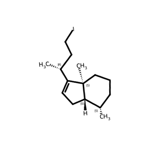 C[C@H](CCI)C1=CC[C@H]2[C@@H](C)CCC[C@]12C